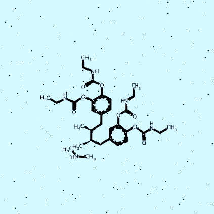 CCNC(=O)Oc1ccc(C[C@@H](C)[C@@H](C)Cc2ccc(OC(=O)NCC)c(OC(=O)NCC)c2)cc1OC(=O)NCC.CNC